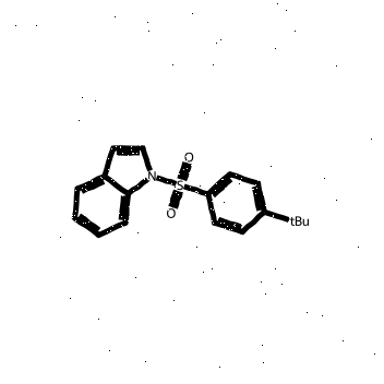 CC(C)(C)c1ccc(S(=O)(=O)n2ccc3ccccc32)cc1